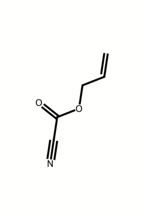 C=CCOC(=O)C#N